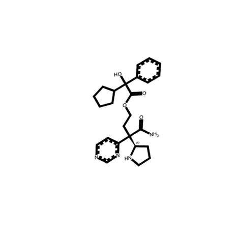 NC(=O)C(CCOC(=O)C(O)(c1ccccc1)C1CCCC1)(c1ccncn1)[C@H]1CCCN1